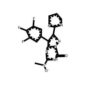 C[S+]([O-])c1nc2c(-c3cc(F)c(F)c(F)c3)c(-c3ncccn3)nn2c(=O)[nH]1